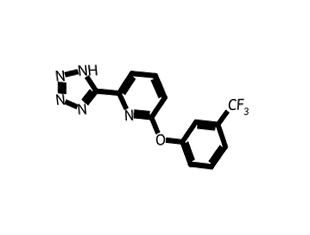 FC(F)(F)c1cccc(Oc2cccc(-c3nnn[nH]3)n2)c1